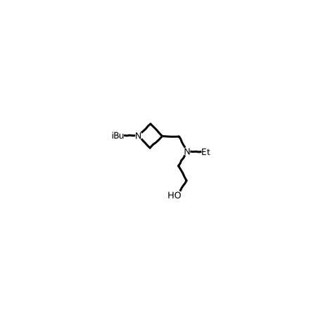 CCC(C)N1CC(CN(CC)CCO)C1